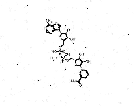 NC(=O)C1=CN([C@@H]2O[C@H](COP(=O)(O)OP(=O)(O)OC[C@H]3O[C@@H](n4cnc5c(N)ncnc54)[C@H](O)[C@@H]3O)[C@@H](O)[C@H]2O)C=CC1.O